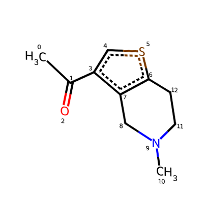 CC(=O)c1csc2c1CN(C)CC2